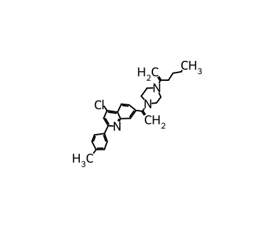 C=C(CCCC)N1CCN(C(=C)c2ccc3c(Cl)cc(-c4ccc(C)cc4)nc3c2)CC1